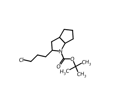 CC(C)(C)OC(=O)N1C(CCCCl)CC2CCCC21